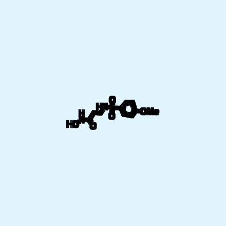 COc1ccc(S(=O)(=O)NCCC(=O)NO)cc1